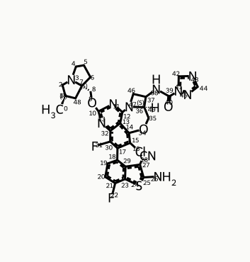 C[C@H]1CN2CCC[C@@]2(COc2nc3c4c(c(Cl)c(-c5ccc(F)c6sc(N)c(C#N)c56)c(F)c4n2)OC[C@@H]2C(NC(=O)n4cncn4)CN32)C1